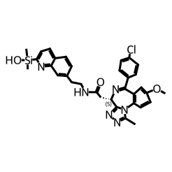 COc1ccc2c(c1)C(c1ccc(Cl)cc1)=N[C@@H](CC(=O)NCCc1ccc3ccc([Si](C)(C)O)nc3c1)c1nnc(C)n1-2